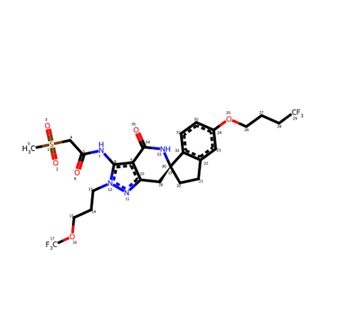 CS(=O)(=O)CC(=O)Nc1c2c(nn1CCCOC(F)(F)F)C[C@@]1(CCc3cc(OCCCC(F)(F)F)ccc31)NC2=O